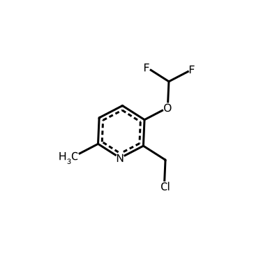 Cc1ccc(OC(F)F)c(CCl)n1